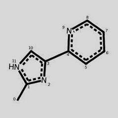 Cc1nc(-c2ccccn2)c[nH]1